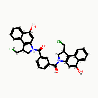 O=C(c1cccc(C(=O)N2CC(CCl)c3c2cc(O)c2ccccc32)c1)N1CC(CCl)c2c1cc(O)c1ccccc21